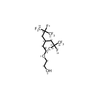 OCCOCCC(CC(F)(C(F)(F)F)C(F)(F)F)CC(F)(C(F)(F)F)C(F)(F)F